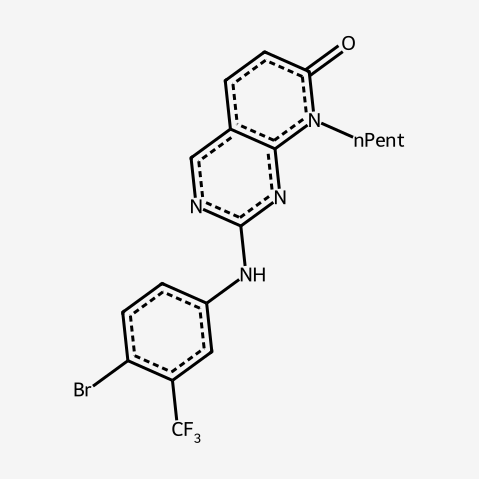 CCCCCn1c(=O)ccc2cnc(Nc3ccc(Br)c(C(F)(F)F)c3)nc21